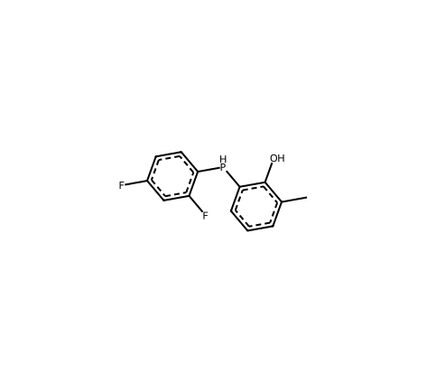 Cc1cccc(Pc2ccc(F)cc2F)c1O